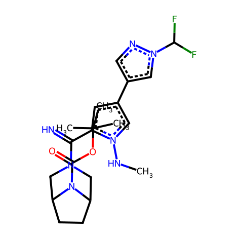 CNn1cc(-c2cnn(C(F)F)c2)cc1C(=N)N1CC2CCC(C1)N2C(=O)OC(C)(C)C